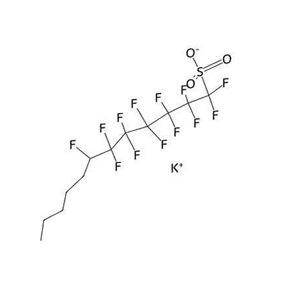 CCCCCC(F)C(F)(F)C(F)(F)C(F)(F)C(F)(F)C(F)(F)C(F)(F)S(=O)(=O)[O-].[K+]